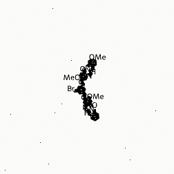 COc1ccc2c(c1)CN1C(=O)c3cc(OC)c(OCc4cc(CBr)cc(COc5cc6c(cc5OC)C(=O)N5Cc7ccccc7C[C@H]5C=N6)c4)cc3N=C[C@@H]1C2